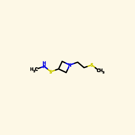 CNSC1CN(CCSC)C1